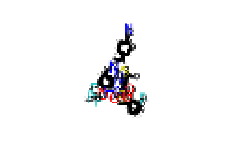 Cc1sc(N(CCc2ccc(C#N)cc2)Cc2ccc(OC(F)(F)F)cc2)nc1C(=O)NS(=O)(=O)Cc1cccc(F)c1